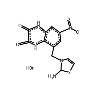 Br.NC1SC=CN1Cc1cc([N+](=O)[O-])cc2[nH]c(=O)c(=O)[nH]c12